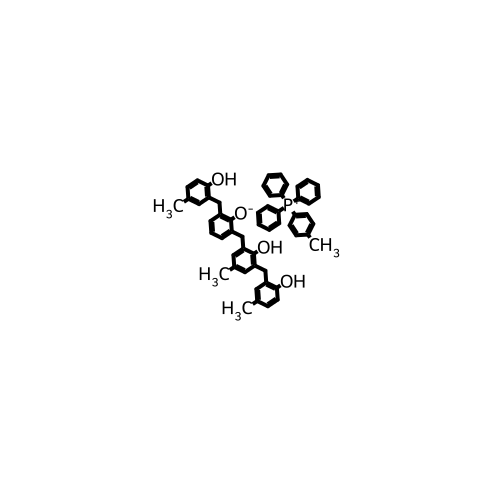 Cc1ccc(O)c(Cc2cccc(Cc3cc(C)cc(Cc4cc(C)ccc4O)c3O)c2[O-])c1.Cc1ccc([P+](c2ccccc2)(c2ccccc2)c2ccccc2)cc1